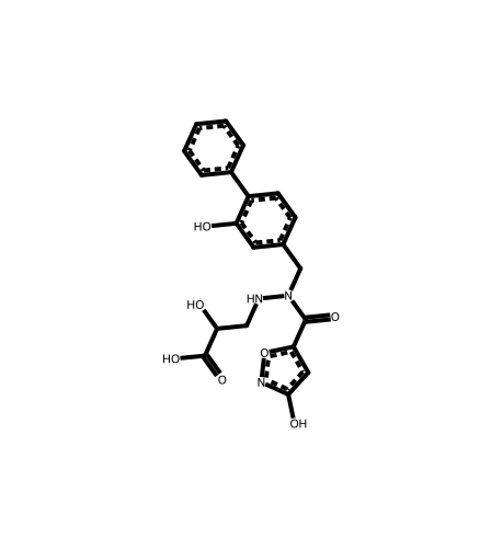 O=C(O)C(O)CNN(Cc1ccc(-c2ccccc2)c(O)c1)C(=O)c1cc(O)no1